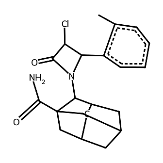 Cc1ccccc1C1C(Cl)C(=O)N1C1C2CC3CC(C2)CC1(C(N)=O)C3